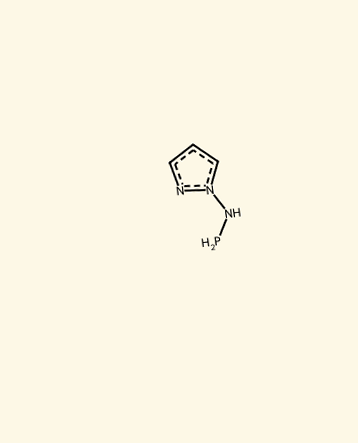 PNn1cccn1